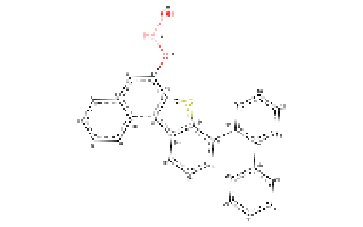 OBOc1cc2ccccc2c2c1sc1c(-c3ccccc3-c3ccccc3)cccc12